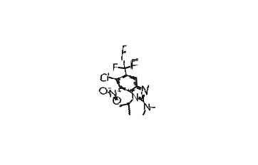 CC(C)n1c(N(C)C)nc2cc(C(F)(F)F)c(Cl)c([N+](=O)[O-])c21